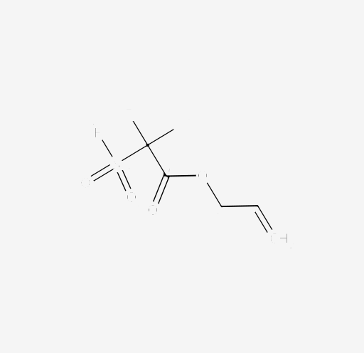 C=CCOC(=O)C(F)(F)S(=O)(=O)F